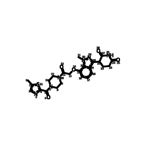 Cc1cnc(C(=O)N2CCN(C(=O)COc3cccc4c(C5CCC(=O)NC5=O)nn(C)c34)CC2)s1